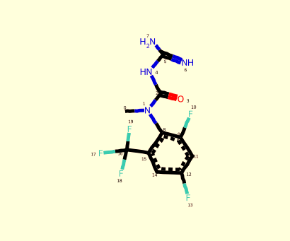 CN(C(=O)NC(=N)N)c1c(F)cc(F)cc1C(F)(F)F